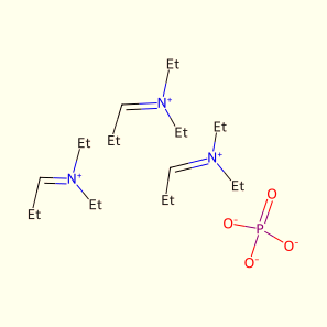 CCC=[N+](CC)CC.CCC=[N+](CC)CC.CCC=[N+](CC)CC.O=P([O-])([O-])[O-]